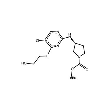 CCCCOC(=O)N1CC[C@H](Nc2ncc(Cl)c(OCCO)n2)C1